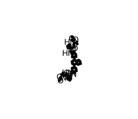 COC(=O)N[C@H](C(=O)N1CCC[C@H]1c1nc2ccc(-c3ccc(-c4ccc5nc([C@@H]6CCCN6C(=O)[C@@H](NC(=O)OC)C(C)C)[nH]c5c4)c4ccccc34)cc2[nH]1)C(C)C